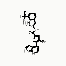 NC[C@H](Cc1cccc(C(F)(F)F)c1)NC(=O)c1cc(Br)c(-c2ccnc3[nH]ccc23)s1